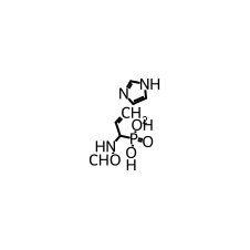 C=CC(NC=O)P(=O)(O)O.c1c[nH]cn1